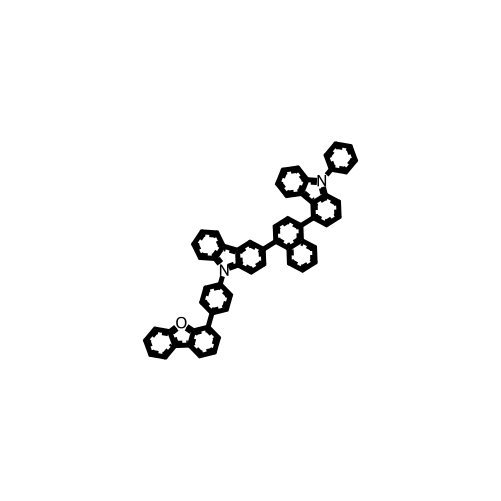 c1ccc(-n2c3ccccc3c3c(-c4ccc(-c5ccc6c(c5)c5ccccc5n6-c5ccc(-c6cccc7c6oc6ccccc67)cc5)c5ccccc45)cccc32)cc1